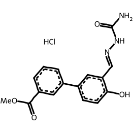 COC(=O)c1cccc(-c2ccc(O)c(C=NNC(N)=O)c2)c1.Cl